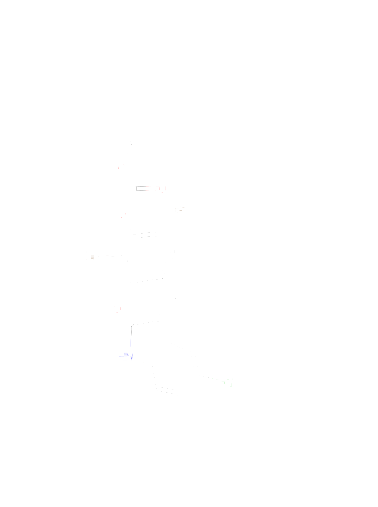 CCOC(=O)Oc1c(Br)cc(C=C2C(=O)Nc3ccc(Cl)cc32)cc1Br